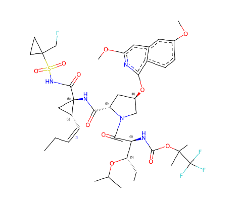 CC/C=C\[C@@H]1C[C@]1(NC(=O)[C@@H]1C[C@@H](Oc2nc(OC)cc3cc(OC)ccc23)CN1C(=O)[C@@H](NC(=O)OC(C)(C)C(F)(F)F)[C@H](CC)OC(C)C)C(=O)NS(=O)(=O)C1(CF)CC1